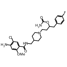 COc1cc(N)c(Cl)cc1C(=O)NCC1CCN(CCC(Cc2ccc(F)cc2)OC(N)=O)CC1